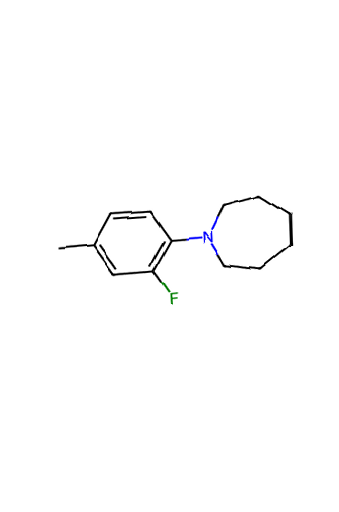 Cc1ccc(N2CCCCCC2)c(F)c1